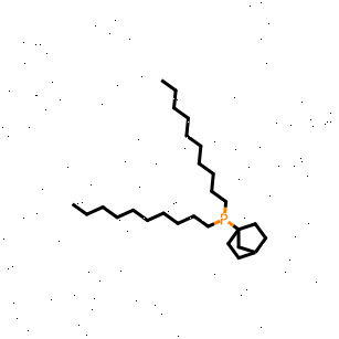 CCCCCCCCCCP(CCCCCCCCCC)C12CCC(CC1)C2